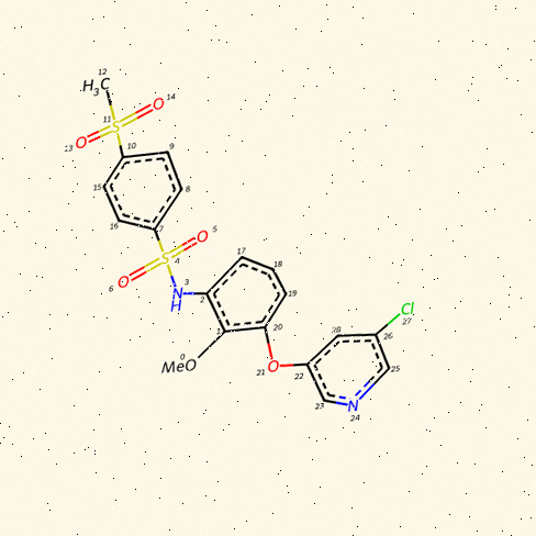 COc1c(NS(=O)(=O)c2ccc(S(C)(=O)=O)cc2)cccc1Oc1cncc(Cl)c1